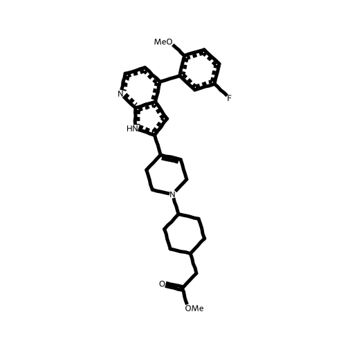 COC(=O)CC1CCC(N2CC=C(c3cc4c(-c5cc(F)ccc5OC)ccnc4[nH]3)CC2)CC1